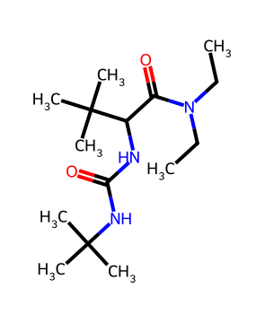 CCN(CC)C(=O)C(NC(=O)NC(C)(C)C)C(C)(C)C